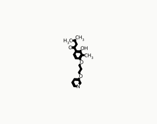 Cc1c(OCCCOc2cccnc2)ccc(C(=O)CC(C)C)c1O